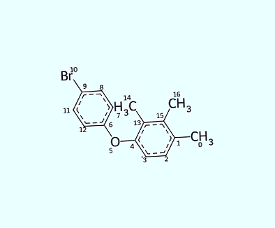 Cc1c[c]c(Oc2ccc(Br)cc2)c(C)c1C